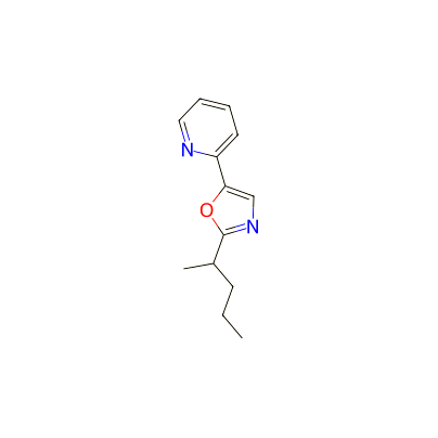 CCCC(C)c1ncc(-c2ccccn2)o1